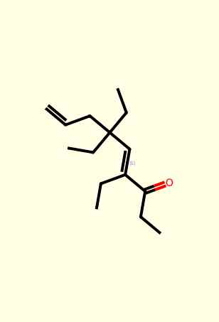 C=CCC(/C=C(\CC)C(=O)CC)(CC)CC